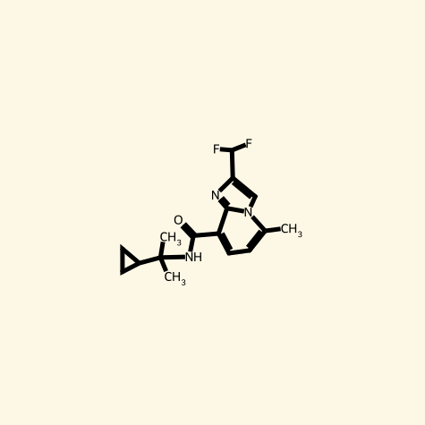 Cc1ccc(C(=O)NC(C)(C)C2CC2)c2nc(C(F)F)cn12